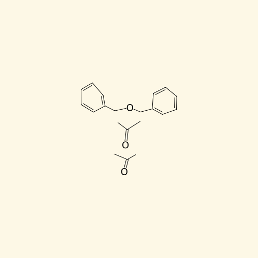 CC(C)=O.CC(C)=O.c1ccc(COCc2ccccc2)cc1